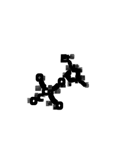 CC[n+]1ccn(C)c1.O=[C]=[Co](=[C]=O)(=[C]=O)=[C]=O